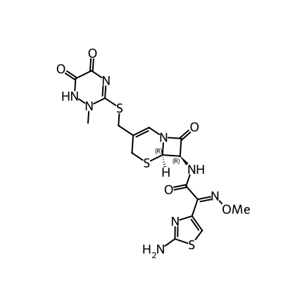 CON=C(C(=O)N[C@@H]1C(=O)N2C=C(CSc3nc(=O)c(=O)[nH]n3C)CS[C@H]12)c1csc(N)n1